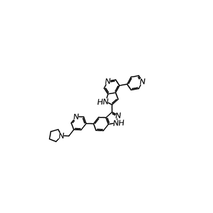 c1cc(-c2cncc3[nH]c(-c4n[nH]c5ccc(-c6cncc(CN7CCCC7)c6)cc45)cc23)ccn1